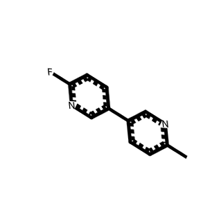 Cc1ccc(-c2ccc(F)nc2)cn1